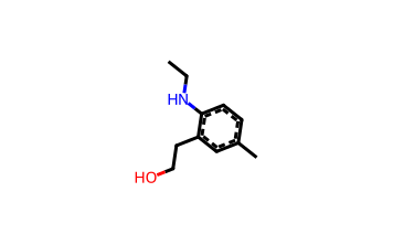 CCNc1ccc(C)cc1CCO